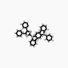 c1ccc(-c2nc(-n3c4ccccc4c4cc5c(cc43)c3ccccc3n5-c3ccccc3)oc2-c2ccccc2)cc1